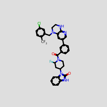 O=C(c1cccc(-c2cnc3c(c2)N(Cc2cc(Cl)ccc2C(F)(F)F)CCN3)c1)N1CCC(n2c(=O)[nH]c3ccccc32)CC1F